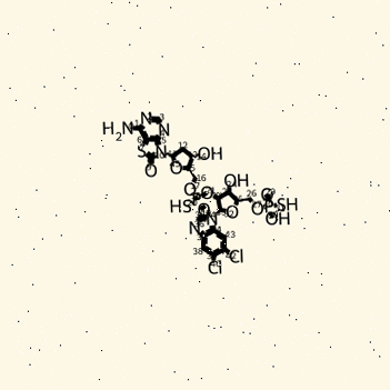 Nc1ncnc2c1sc(=O)n2[C@H]1C[C@H](O)[C@@H](COP(=O)(S)OC2C(O)[C@@H](COP(=O)(O)S)O[C@H]2n2cnc3cc(Cl)c(Cl)cc32)O1